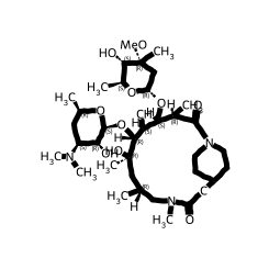 CO[C@]1(C)C[C@H](O[C@H]2[C@H](C)[C@@H](O[C@@H]3O[C@H](C)C[C@H](N(C)C)[C@H]3O)[C@](C)(O)C[C@@H](C)CN(C)C(=O)CC3CCN(CC3)C(=O)[C@@H]2C)O[C@@H](C)[C@@H]1O